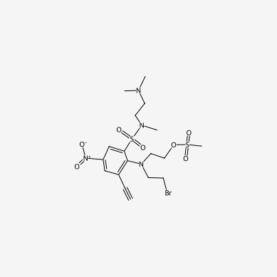 C#Cc1cc([N+](=O)[O-])cc(S(=O)(=O)N(C)CCN(C)C)c1N(CCBr)CCOS(C)(=O)=O